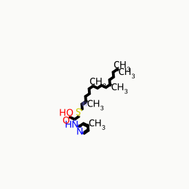 C/C(=C\CSCC(Nc1cc(C)ccn1)C(=O)O)CCCC(C)CCCC(C)CCCC(C)C